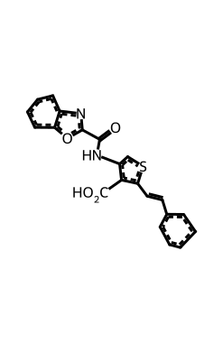 O=C(Nc1csc(/C=C/c2ccccc2)c1C(=O)O)c1nc2ccccc2o1